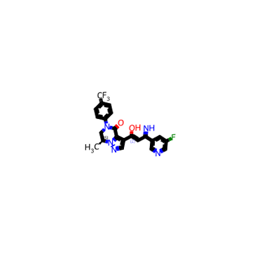 C[C@H]1CN(c2ccc(C(F)(F)F)cc2)C(=O)c2c(/C(O)=C/C(=N)c3cncc(F)c3)cnn21